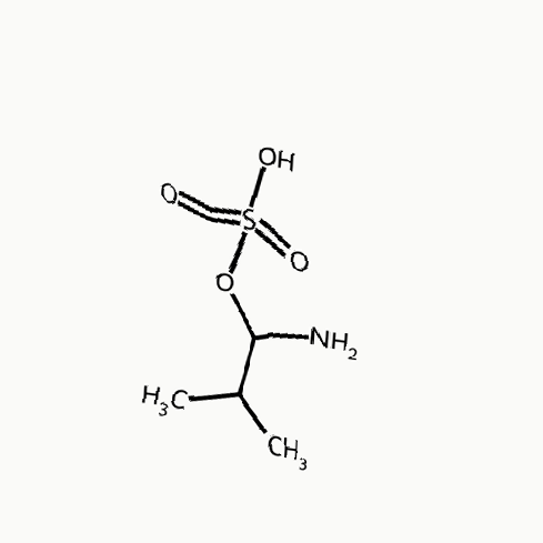 CC(C)C(N)OS(=O)(=O)O